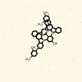 Cc1ccc(-c2ccc3c(c2)c2ccccc2n3-c2cc(C#N)cc(-n3c4ccccc4c4cc(-c5ccc(C)cc5C)ccc43)c2-c2nc(-c3ccccc3)cc(-c3ccccc3)n2)c(C)c1